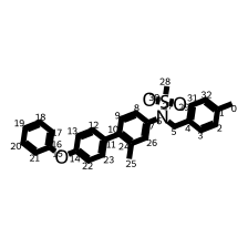 Cc1ccc(CN(c2ccc(-c3ccc(Oc4ccccc4)cc3)c(C)c2)S(C)(=O)=O)cc1